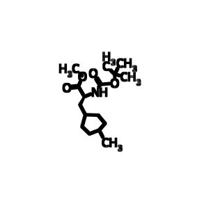 COC(=O)[C@H](CC1CCC(C)CC1)NC(=O)OC(C)(C)C